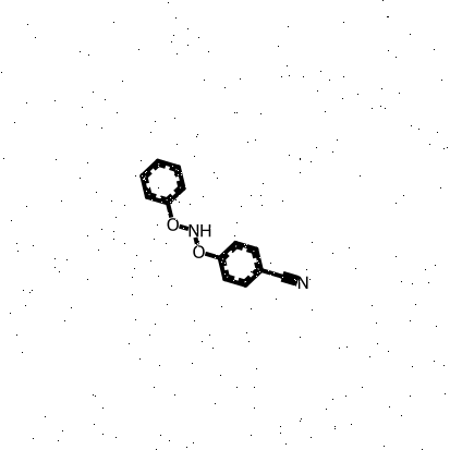 N#Cc1ccc(ONOc2ccccc2)cc1